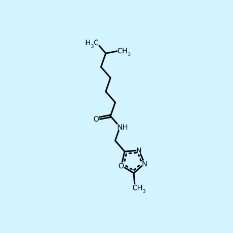 Cc1nnc(CNC(=O)CCCCC(C)C)o1